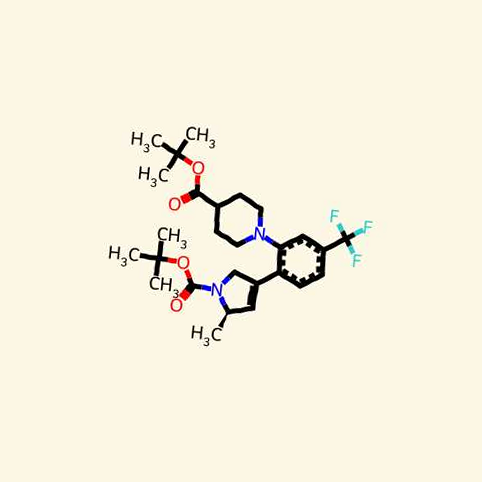 C[C@@H]1C=C(c2ccc(C(F)(F)F)cc2N2CCC(C(=O)OC(C)(C)C)CC2)CN1C(=O)OC(C)(C)C